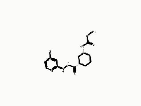 CC(C)(C)OC(=O)N[C@@H]1CCC[C@H](C(=O)NNc2cc(Cl)ccn2)C1